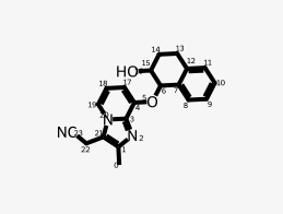 Cc1nc2c(OC3c4ccccc4CCC3O)cccn2c1CC#N